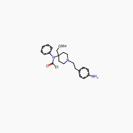 CCC(=O)N(c1ccccc1)C1(COC)CCN(CCc2ccc(N)cc2)CC1